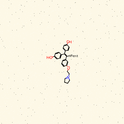 CCCCCC(=C(c1ccc(O)cc1)c1ccc(O)cc1)c1cccc(OCCN2CCCC2)c1